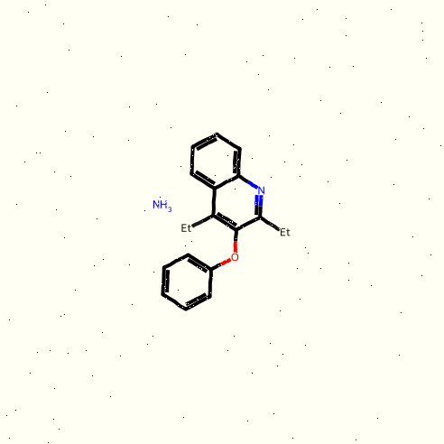 CCc1nc2ccccc2c(CC)c1Oc1ccccc1.N